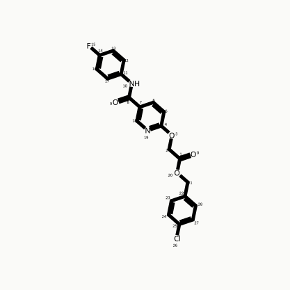 O=C(COc1ccc(C(=O)Nc2ccc(F)cc2)cn1)OCc1ccc(Cl)cc1